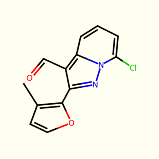 Cc1ccoc1-c1nn2c(Cl)cccc2c1C=O